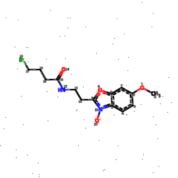 COc1ccc2c(c1)oc(CCNC(=O)CCCBr)[n+]2[O-]